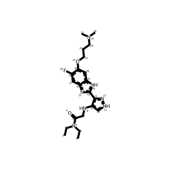 CCN(CC)C(=O)CNc1c[nH]nc1-c1nc2cc(F)c(OCCCN(C)C)cc2[nH]1